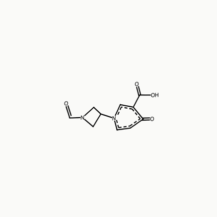 O=CN1CC(n2ccc(=O)c(C(=O)O)c2)C1